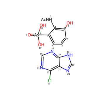 CC(=O)Nc1c(O)cccc1[As](=O)(O)O.Clc1ncnc2[nH]cnc12